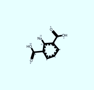 O=C(O)c1cccc(C(=O)O)[c]1[Na]